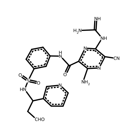 N#Cc1nc(N)c(C(=O)Nc2cccc(S(=O)(=O)NC(CC=O)c3cccnc3)c2)nc1NC(=N)N